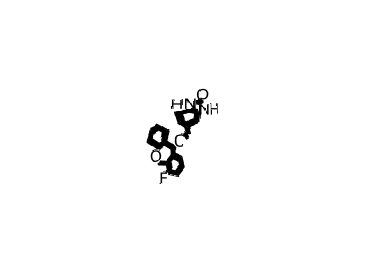 O=c1[nH]c2ccc(C=C=C3c4ccccc4OCc4c(F)cccc43)cc2[nH]1